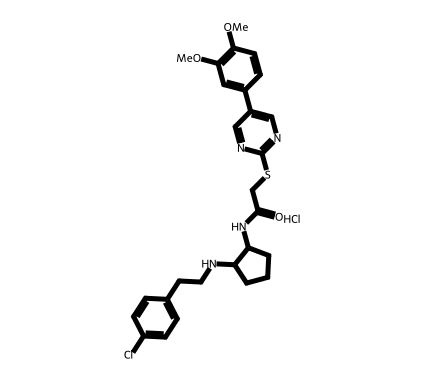 COc1ccc(-c2cnc(SCC(=O)NC3CCCC3NCCc3ccc(Cl)cc3)nc2)cc1OC.Cl